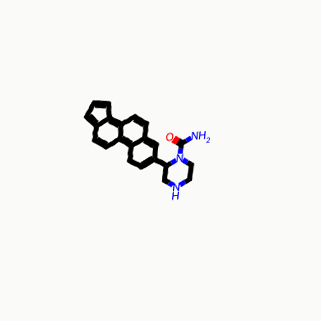 NC(=O)N1CCNCC1C1=CCc2c(ccc3c4c(ccc23)=CC=C4)=C1